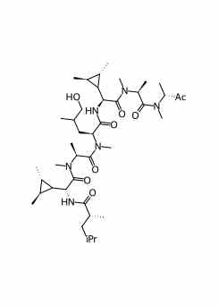 CC(=O)[C@@H](C)N(C)C(=O)[C@H](C)N(C)C(=O)[C@@H](NC(=O)[C@H](CC(C)CO)N(C)C(=O)[C@H](C)N(C)C(=O)[C@H](NC(=O)[C@H](C)CC(C)C)C1[C@@H](C)[C@@H]1C)C1[C@@H](C)[C@@H]1C